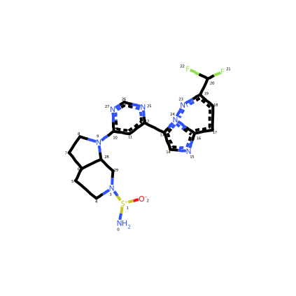 N[S+]([O-])N1CCC2CCN(c3cc(-c4cnc5ccc(C(F)F)nn45)ncn3)C2C1